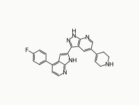 Fc1ccc(-c2ccnc3[nH]c(-c4n[nH]c5ncc(C6=CCNCC6)cc45)cc23)cc1